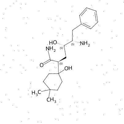 CC1(C)CCC(O)([C@H](C[C@H](O)[C@@H](N)Cc2ccccc2)C(N)=O)CC1